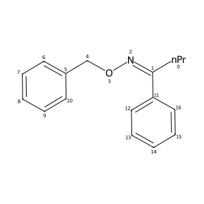 CCCC(=NOCc1ccccc1)c1ccccc1